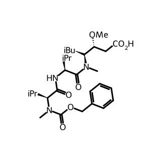 CC[C@H](C)[C@@H]([C@@H](CC(=O)O)OC)N(C)C(=O)[C@@H](NC(=O)[C@H](C(C)C)N(C)C(=O)OCc1ccccc1)C(C)C